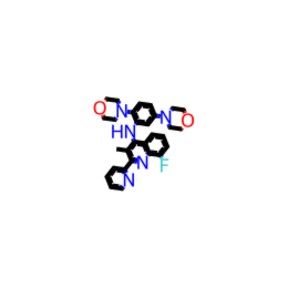 Cc1c(-c2ccccn2)nc2c(F)cccc2c1Nc1cc(N2CCOCC2)ccc1N1CCOCC1